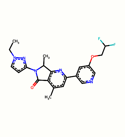 CCn1ccc(N2C(=O)c3c(C)cc(-c4cncc(OCC(F)F)c4)nc3C2C)n1